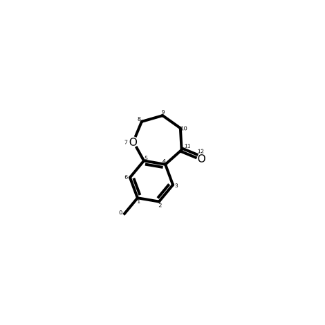 Cc1ccc2c(c1)OCCCC2=O